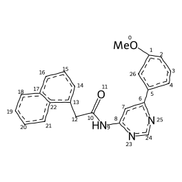 COc1cccc(-c2cc(NC(=O)Cc3cccc4ccccc34)ncn2)c1